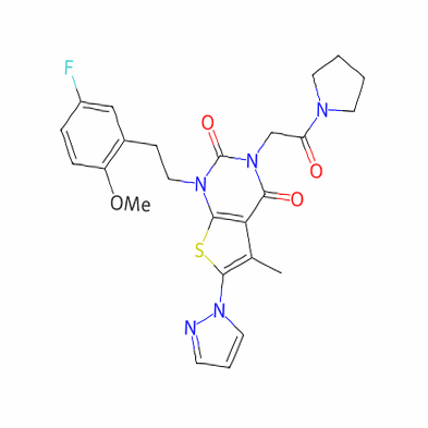 COc1ccc(F)cc1CCn1c(=O)n(CC(=O)N2CCCC2)c(=O)c2c(C)c(-n3cccn3)sc21